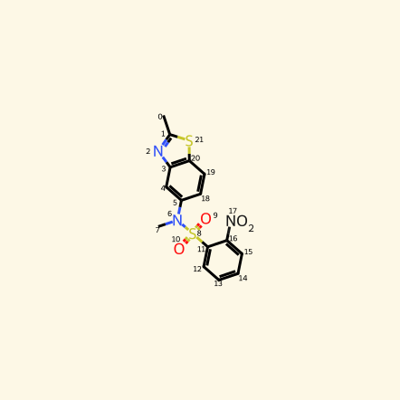 Cc1nc2cc(N(C)S(=O)(=O)c3ccccc3[N+](=O)[O-])ccc2s1